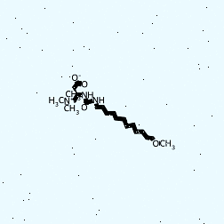 COCCCCCCCCCCCCNC(=O)N[C@H](CC(=O)[O-])C[N+](C)(C)C